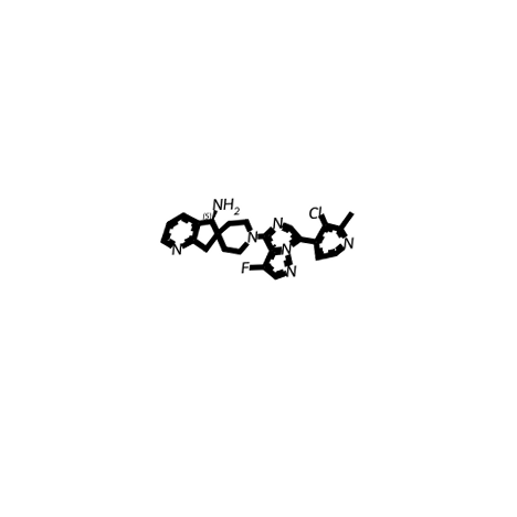 Cc1nccc(-c2cnc(N3CCC4(CC3)Cc3ncccc3[C@H]4N)c3c(F)cnn23)c1Cl